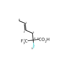 CC=CCC(F)(C(=O)O)C(F)(F)F